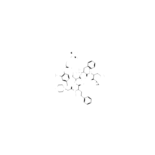 CC(C)CC(NC(=O)C(CCc1ccccc1)NC(=O)C[N+]1(Cc2ccc(OC(=O)C(C)C)c(C=O)c2)CCOCC1)C(=O)NC(Cc1ccccc1)C(=O)NC(CC(C)C)C(=O)[C@@]1(C)CO1.CS(=O)(=O)[O-]